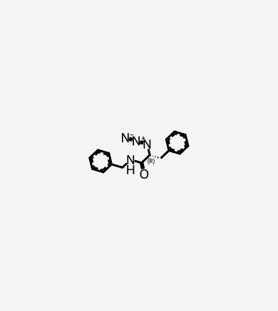 [N-]=[N+]=N[C@H](Cc1ccccc1)C(=O)NCc1ccccc1